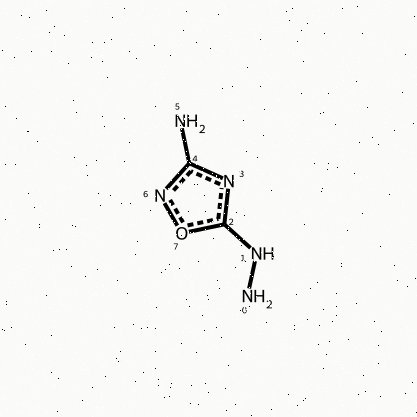 NNc1nc(N)no1